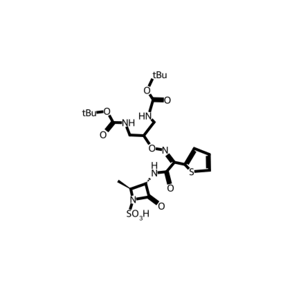 C[C@H]1[C@H](NC(=O)/C(=N\OC(CNC(=O)OC(C)(C)C)CNC(=O)OC(C)(C)C)c2cccs2)C(=O)N1S(=O)(=O)O